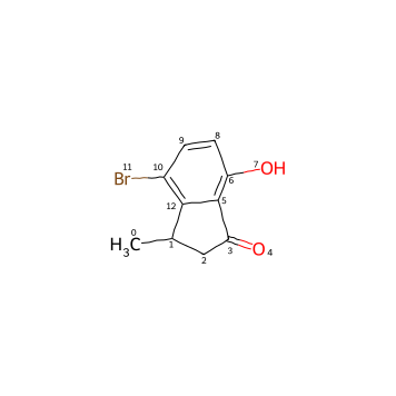 CC1CC(=O)c2c(O)ccc(Br)c21